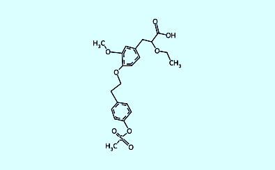 CCOC(Cc1ccc(OCCc2ccc(OS(C)(=O)=O)cc2)c(OC)c1)C(=O)O